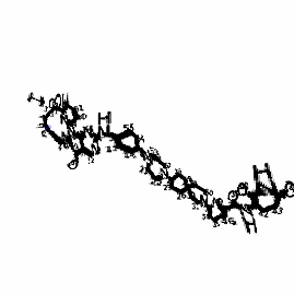 C[C@@]1(O)CC/C=C\Cn2c(=O)c3cnc(Nc4ccc(N5CCN(C6CCC7(CC6)CCN(c6cccc(C(=O)NC8CCC(=O)NC8=O)n6)CC7)CC5)cc4)nc3n2-c2cccc1n2